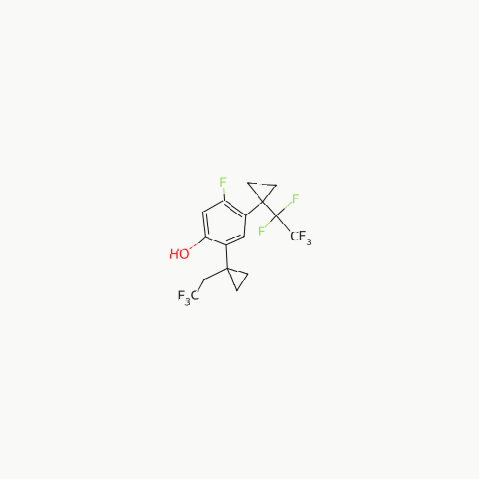 Oc1cc(F)c(C2(C(F)(F)C(F)(F)F)CC2)cc1C1(CC(F)(F)F)CC1